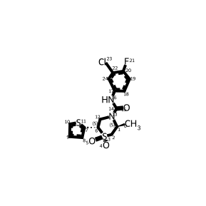 C[C@H]1CS(=O)(=O)[C@H](c2cccs2)CN1C(=O)Nc1ccc(F)c(Cl)c1